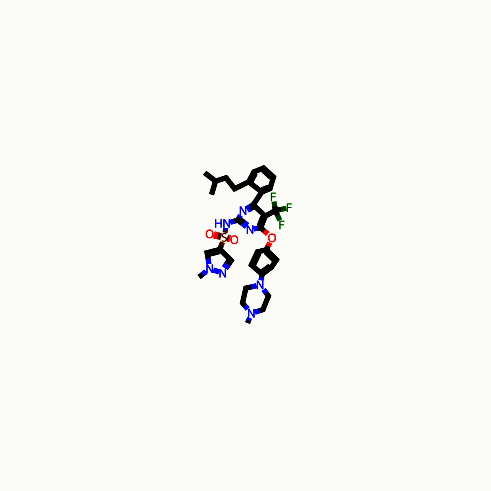 CC(C)CCc1ccccc1-c1nc(NS(=O)(=O)c2cnn(C)c2)nc(Oc2ccc(N3CCN(C)CC3)cc2)c1C(F)(F)F